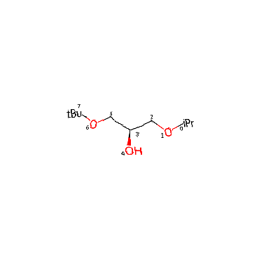 CC(C)OC[C@@H](O)COC(C)(C)C